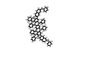 c1ccc(Sc2ccc3cc4oc5c6c7c(cc5c4cc3c2)N(c2ccccc2)c2cc3c(cc2B7c2ccccc2N6c2ccccc2)B2c4ccccc4N(c4ccccc4)c4c2c(cc2c4oc4cc5ccc(Sc6ccccc6)cc5cc42)N3c2ccccc2)cc1